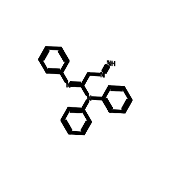 N=NCC(=Nc1ccccc1)N(c1ccccc1)c1ccccc1